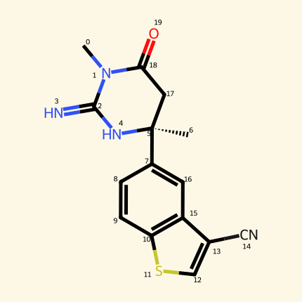 CN1C(=N)N[C@](C)(c2ccc3scc(C#N)c3c2)CC1=O